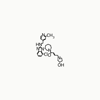 Cc1cc(CNc2nc3cccc(Cl)c3n2[C@@H]2CCCCN(C(=O)/C=C/CN3CC[C@H](O)C3)C2)ccn1